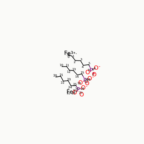 CCCCCCP(=O)([O-])[O-].CCCCCCP(=O)([O-])[O-].CCCCCCP(=O)([O-])[O-].[Fe+3].[Fe+3]